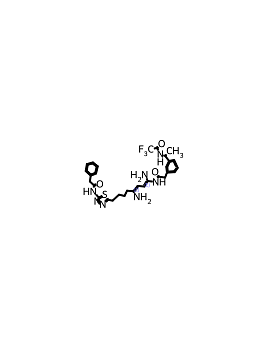 CC(NC(=O)C(F)(F)F)c1cccc(CC(=O)N/C(N)=C/C=C(\N)CCCCc2nnc(NC(=O)Cc3ccccc3)s2)c1